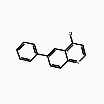 Clc1ccnc2ccc(-c3ccccc3)cc12